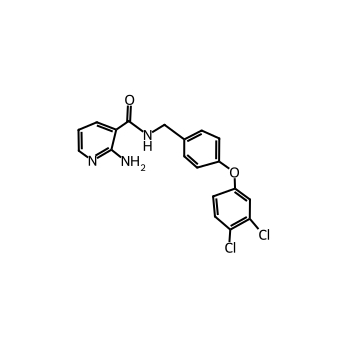 Nc1ncccc1C(=O)NCc1ccc(Oc2ccc(Cl)c(Cl)c2)cc1